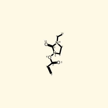 C=CC(=O)ON1CCN(CC)C1=O